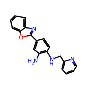 Nc1cc(-c2nc3ccccc3o2)ccc1NCc1ccccn1